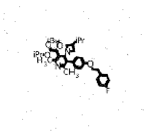 Cc1nc(C)c(C(OC(C)(C)C)C(=O)OC(C)C)c(N2CC(C(C)C)C2)c1-c1ccc(OCCc2ccc(F)cc2)cc1